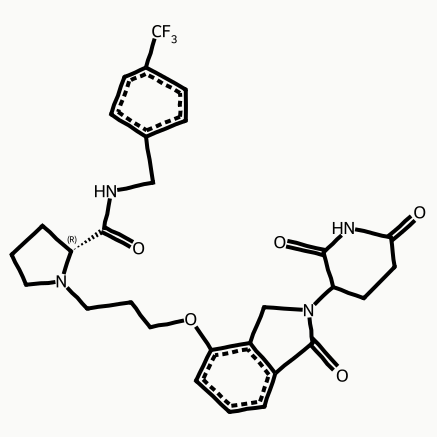 O=C1CCC(N2Cc3c(OCCCN4CCC[C@@H]4C(=O)NCc4ccc(C(F)(F)F)cc4)cccc3C2=O)C(=O)N1